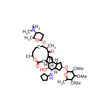 CC[C@H]1CCC[C@H](O[C@H]2CC[C@H](N(C)C)C(C)O2)[C@@H](C)C(=O)C2=C[C@H]3[C@@H]4C[C@H](O[C@@H]5OC(C)[C@H](OC)C(OC)C5OC)C[C@H]4[C@H](NC4CCCC4)[C@@H](O)[C@H]3[C@@H]2CC(=O)O1